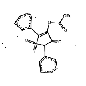 CC(C)COC(=O)OC1=C(c2ccccc2)S(=O)(=O)C(c2ccccc2)C1=O